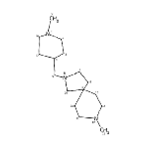 CN1CCC(CN2CCC3(CCN(C)CC3)C2)CC1